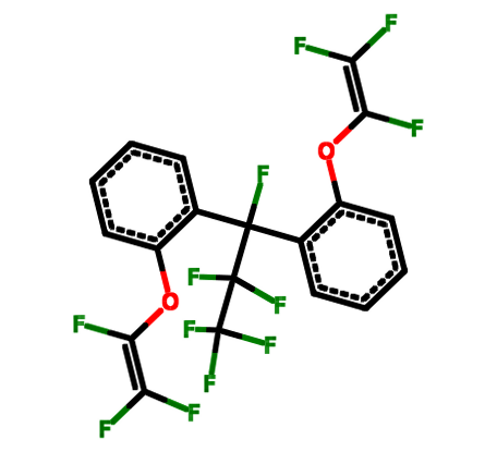 FC(F)=C(F)Oc1ccccc1C(F)(c1ccccc1OC(F)=C(F)F)C(F)(F)C(F)(F)F